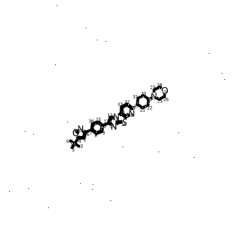 CC(C)(C)c1cc(-c2ccc(-c3cn4c(n3)sc3nc([C@H]5CC[C@H](N6CCOCC6)CC5)ccc34)cc2)no1